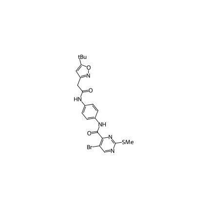 CSc1ncc(Br)c(C(=O)Nc2ccc(NC(=O)Cc3cc(C(C)(C)C)on3)cc2)n1